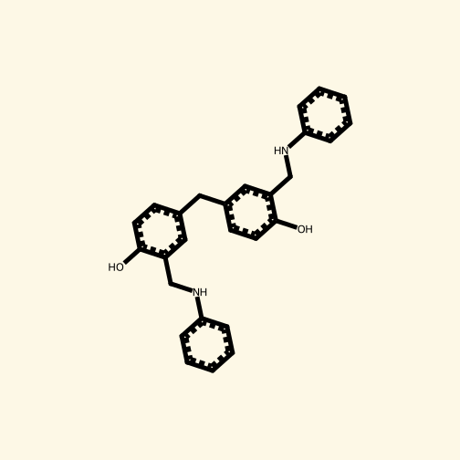 Oc1ccc(Cc2ccc(O)c(CNc3ccccc3)c2)cc1CNc1ccccc1